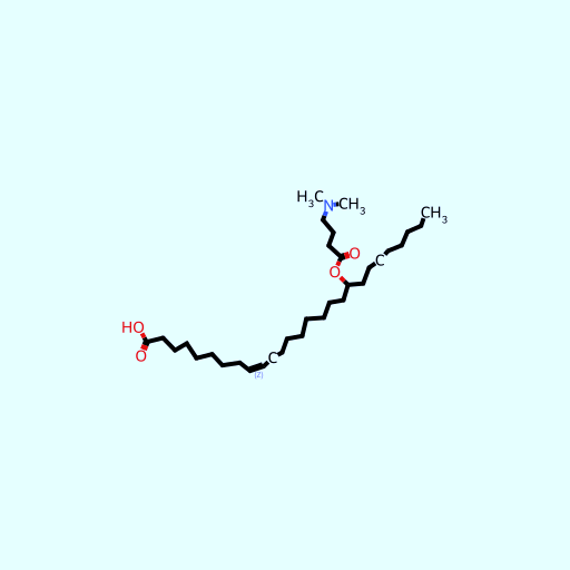 CCCCCCCCC(CCCCCCCC/C=C\CCCCCCCC(=O)O)OC(=O)CCCN(C)C